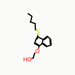 CCCCCSc1ccc(OCCO)c2ccccc12